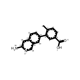 Cc1ccc(C(=O)O)cc1-c1ccc2cc(N)ncc2c1